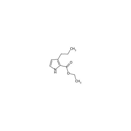 CCCc1cc[nH]c1C(=O)OCC